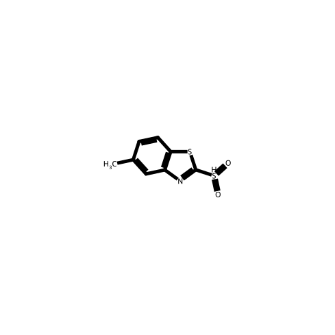 Cc1ccc2sc([SH](=O)=O)nc2c1